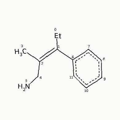 CCC(=C(C)CN)c1ccccc1